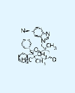 CC(C)(C)[Si](O[C@@H]1CCC(=O)C[C@@]1(C)Cn1cnc2ccc(C#N)cc21)(c1ccccc1)c1ccccc1